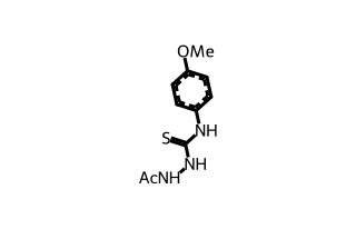 [CH2]C(=O)NNC(=S)Nc1ccc(OC)cc1